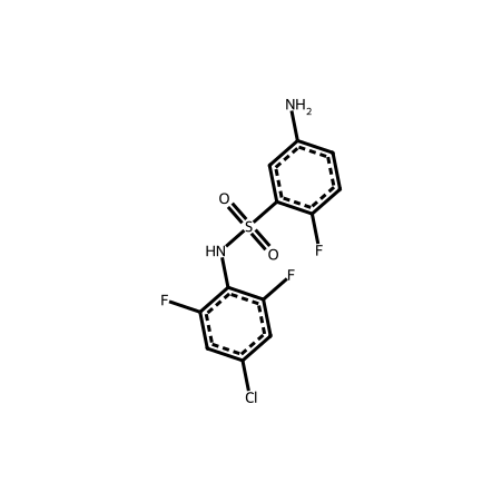 Nc1ccc(F)c(S(=O)(=O)Nc2c(F)cc(Cl)cc2F)c1